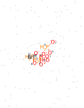 O.O.O=[PH2][O-].O=[PH2][O-].O=[PH2][O-].[Bi+3]